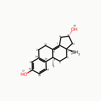 B[C@@]12CC[C@]3(C)C(=C1C[C@H](O)C2)CCc1cc(O)ccc13